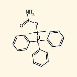 CC(C)(OC(N)=O)[PH](c1ccccc1)(c1ccccc1)c1ccccc1